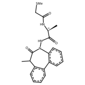 CSCC(=O)N[C@@H](C)C(=O)NN1C(=O)C(C)c2ccccc2-c2ccccc21